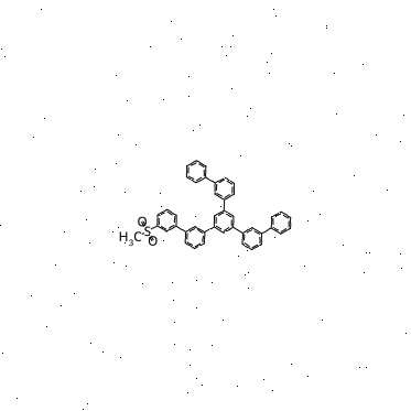 CS(=O)(=O)c1cccc(-c2cccc(-c3cc(-c4cccc(-c5ccccc5)c4)cc(-c4cccc(-c5ccccc5)c4)c3)c2)c1